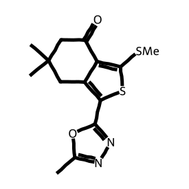 CSc1sc(-c2nnc(C)o2)c2c1C(=O)CC(C)(C)C2